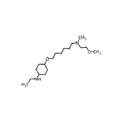 CCNC1CCC(OCCCCCCN(C)CCOC)CC1